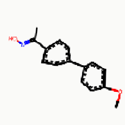 COc1ccc(-c2ccc(C(C)=NO)cc2)cc1